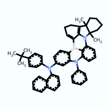 CC(C)(C)c1ccc(N(c2ccc3c(c2)N(c2ccccc2)c2cccc4c2B3C2=CCCC3=C2N4C2(C)CCCCC32C)c2cccc3ccccc23)cc1